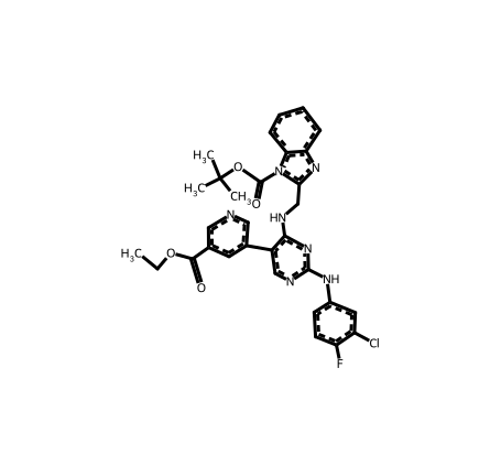 CCOC(=O)c1cncc(-c2cnc(Nc3ccc(F)c(Cl)c3)nc2NCc2nc3ccccc3n2C(=O)OC(C)(C)C)c1